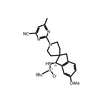 COc1ccc2c(c1)[C@@H](N[S+]([O-])C(C)(C)C)C1(CCN(c3nc(C)cc(C#N)n3)CC1)C2